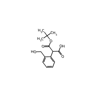 CC(C)(C)OC(=O)C(C(=O)O)c1ccccc1CO